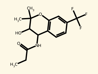 CCC(=O)NC1c2ccc(C(F)(F)F)cc2OC(C)(C)C1O